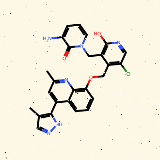 Cc1cc(-c2[nH]ncc2C)c2cccc(OCc3c(Cl)cnc(O)c3Cn3cccc(N)c3=O)c2n1